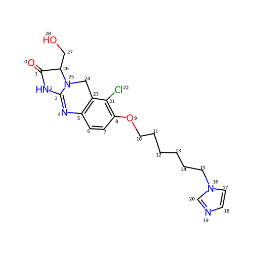 O=C1NC2=Nc3ccc(OCCCCCCn4ccnc4)c(Cl)c3CN2C1CO